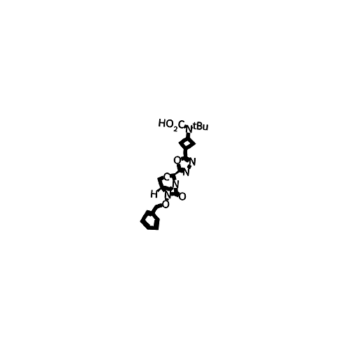 CC(C)(C)N(C(=O)O)C1CC(c2nnc([C@@H]3CC[C@@H]4CN3C(=O)N4OCc3ccccc3)o2)C1